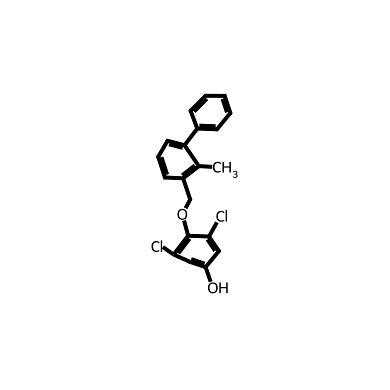 Cc1c(COc2c(Cl)cc(O)cc2Cl)cccc1-c1ccccc1